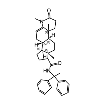 CN1C(=O)CC[C@@]2(C)C1=CC[C@@H]1[C@H]2CC[C@]2(C)C(C(=O)NC(C)(c3ccccc3)c3ccccc3)CC[C@@H]12